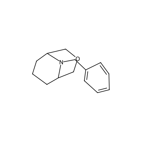 c1ccc(CN2C3CCCC2COC3)cc1